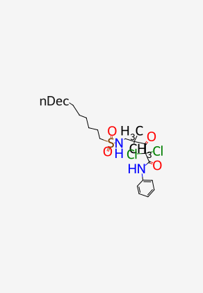 CCCCCCCCCCCCCCCCS(=O)(=O)NCC(C)(C)C(=O)C(Cl)(Cl)C(=O)Nc1ccccc1